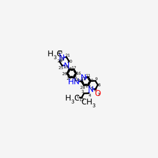 CC(C)CCN1C(=O)CCc2cnc(Nc3ccc(N4CCN(C)CC4)cc3)cc21